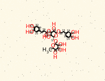 C[C@@H]1O[C@H](OC[C@H]2O[C@@H](OCCc3ccc(O)c(O)c3)[C@H](O)[C@@H](OC(=O)/C=C/c3ccc(O)c(O)c3)[C@@H]2O)[C@H](O)[C@H](O)[C@H]1O